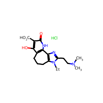 CCn1c(CCN(C)C)nc2c1CCCc1c-2[nH]c(=O)c(C(=O)O)c1O.Cl